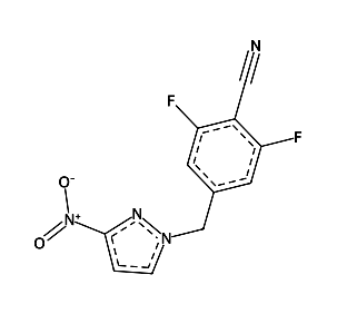 N#Cc1c(F)cc(Cn2ccc([N+](=O)[O-])n2)cc1F